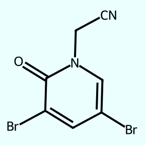 N#CCn1cc(Br)cc(Br)c1=O